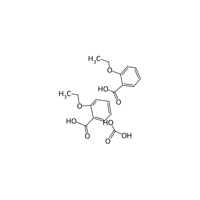 CCOc1ccccc1C(=O)O.CCOc1ccccc1C(=O)O.O=C(O)O